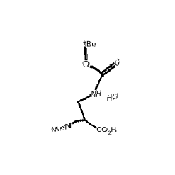 CNC(CNC(=O)OC(C)(C)C)C(=O)O.Cl